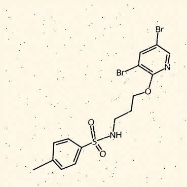 Cc1ccc(S(=O)(=O)NCCCOc2ncc(Br)cc2Br)cc1